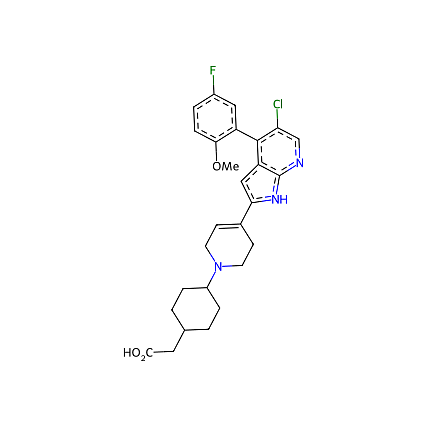 COc1ccc(F)cc1-c1c(Cl)cnc2[nH]c(C3=CCN(C4CCC(CC(=O)O)CC4)CC3)cc12